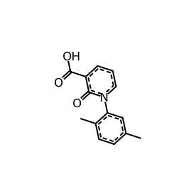 Cc1ccc(C)c(-n2cccc(C(=O)O)c2=O)c1